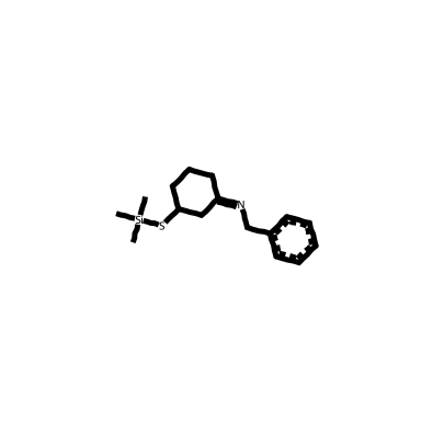 C[Si](C)(C)SC1CCCC(=NCc2ccccc2)C1